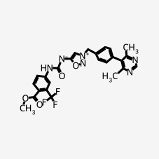 COC(=O)c1ccc(NC(=O)[N-]c2c[n+](Cc3ccc(-c4c(C)ncnc4C)cc3)no2)cc1C(F)(F)F